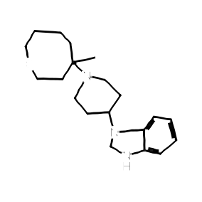 CC1(N2CCC(N3CNc4ccccc43)CC2)CCCCCCC1